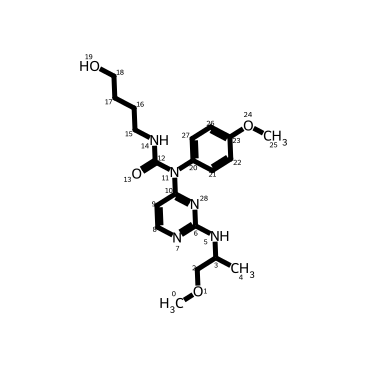 COCC(C)Nc1nccc(N(C(=O)NCCCCO)c2ccc(OC)cc2)n1